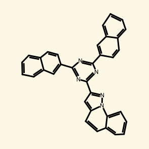 c1ccc2cc(-c3nc(-c4ccc5ccccc5c4)nc(-c4cc5ccc6ccccc6n5n4)n3)ccc2c1